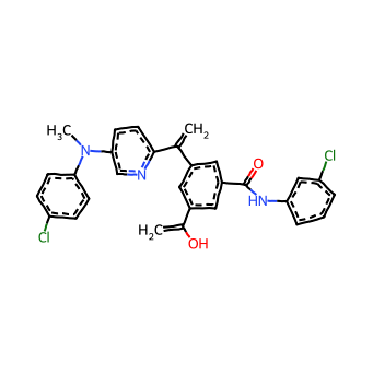 C=C(O)c1cc(C(=C)c2ccc(N(C)c3ccc(Cl)cc3)cn2)cc(C(=O)Nc2cccc(Cl)c2)c1